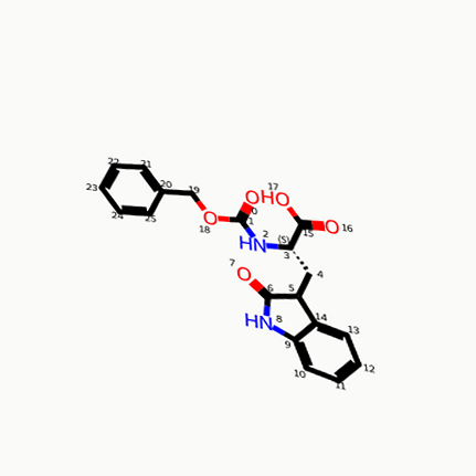 O=C(N[C@@H](CC1C(=O)Nc2ccccc21)C(=O)O)OCc1ccccc1